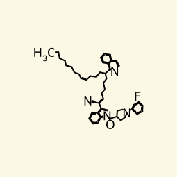 CCCCCCCC/C=C\CCCC(CCCC/C=C(\C#N)c1cn(C(=O)C2CCN(c3cccc(F)c3)CC2)c2ccccc12)c1nccc2ccccc12